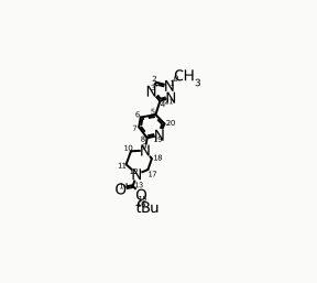 Cn1cnc(-c2ccc(N3CCN(C(=O)OC(C)(C)C)CC3)nc2)n1